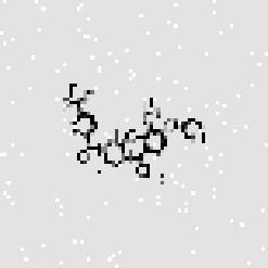 Cc1c(O[C@@H]2CCOC2)ccc([C@@H](C)N2CCN(C(=O)c3ccc(C(F)(F)F)cc3)CC2)c1C